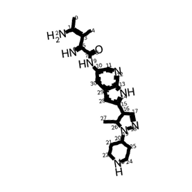 C/C(N)=C(\C)C(=N)C(=O)Nc1cnc2[nH]c(C3C=NN(C4CCNCC4)C3C)cc2c1